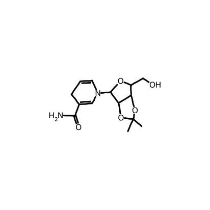 CC1(C)OC2C(CO)OC(N3C=CCC(C(N)=O)=C3)C2O1